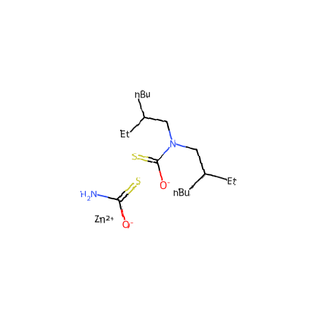 CCCCC(CC)CN(CC(CC)CCCC)C([O-])=S.NC([O-])=S.[Zn+2]